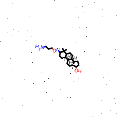 CC1(C)/C(=N/OCCCN)CC[C@@]2(C)C1CC[C@H]1[C@@H]3CC[C@H](O)[C@@]3(C)CC[C@@H]12